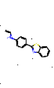 C=CNc1ccc(-c2nc3ccccc3s2)cc1